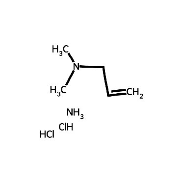 C=CCN(C)C.Cl.Cl.N